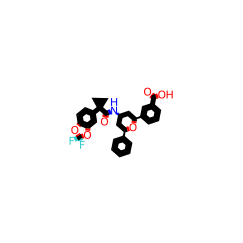 O=C(O)c1cccc([C@@H]2C[C@H](NC(=O)C3(c4ccc5c(c4)OC(F)(F)O5)CC3)C[C@H](c3ccccc3)O2)c1